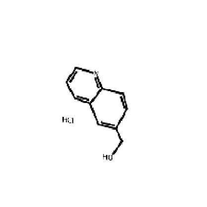 Cl.OCc1ccc2ncccc2c1